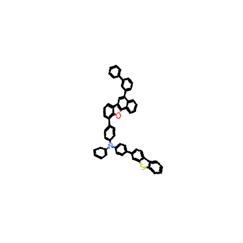 C1=CCCC(N(c2ccc(-c3ccc4c(c3)sc3ccccc34)cc2)C2C=CC(c3cccc4c3oc3c5ccccc5c(-c5cccc(-c6ccccc6)c5)cc43)=CC2)=C1